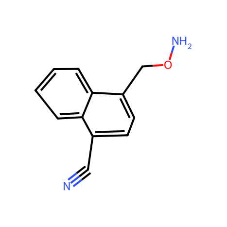 N#Cc1ccc(CON)c2ccccc12